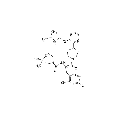 CN(C)[C@H](I)COc1cccnc1C1CCN(C(=O)[C@@H](Cc2ccc(Cl)cc2Cl)NC(=O)N2CCCC(C)(O)C2)CC1